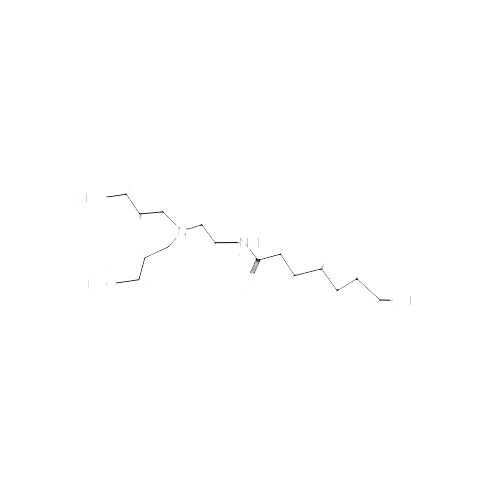 CCCCCCCC(=O)NCCN(CCCC)CCCC